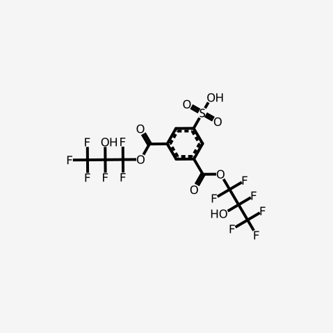 O=C(OC(F)(F)C(O)(F)C(F)(F)F)c1cc(C(=O)OC(F)(F)C(O)(F)C(F)(F)F)cc(S(=O)(=O)O)c1